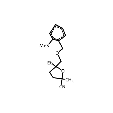 CCC1(COCc2ccccc2SC)CCC(C)(C#N)O1